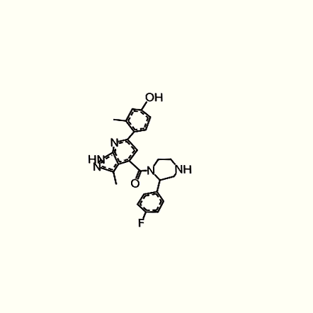 Cc1cc(O)ccc1-c1cc(C(=O)N2CCNCC2c2ccc(F)cc2)c2c(C)n[nH]c2n1